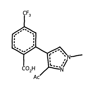 CC(=O)c1nn(C)cc1-c1cc(C(F)(F)F)ccc1C(=O)O